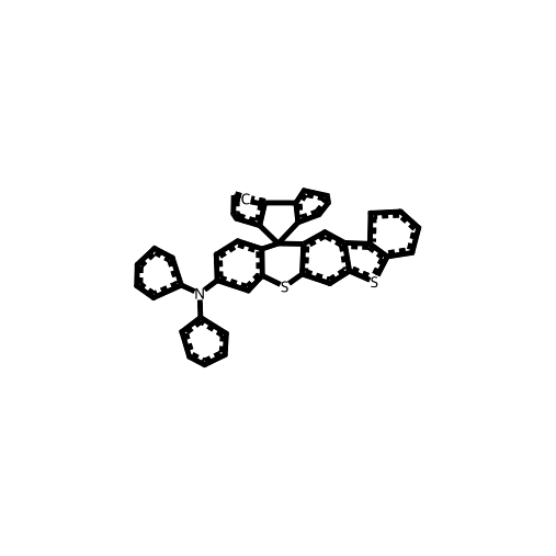 c1ccc(N(c2ccccc2)c2ccc3c(c2)Sc2cc4sc5ccccc5c4cc2C32c3ccccc3-c3ccccc32)cc1